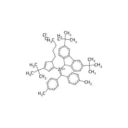 CCCCC1C=C(C(C)(C)C)C=[C]1[Zr+2](=[C](c1ccc(C)cc1)c1ccc(C)cc1)[CH]1c2ccc(C(C)(C)C)cc2-c2cc(C(C)(C)C)ccc21.[Cl-].[Cl-]